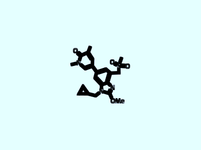 COc1nc2c(CS(C)(=O)=O)cc(-c3cc(C)c(=O)n(C)c3)cc2n1CC1CC1